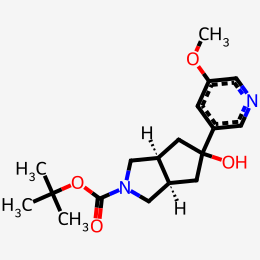 COc1cncc(C2(O)C[C@H]3CN(C(=O)OC(C)(C)C)C[C@H]3C2)c1